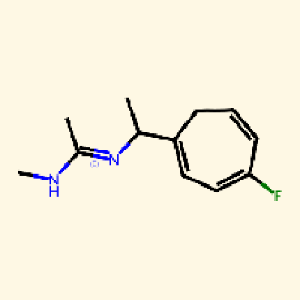 CN/C(C)=N/C(C)C1=CC=C(F)C=CC1